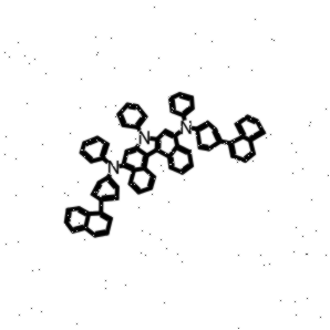 c1ccc(N(c2ccc(-c3cccc4ccccc34)cc2)c2cc3c(c4ccccc24)c2c4ccccc4c(N(c4ccccc4)c4ccc(-c5cccc6ccccc56)cc4)cc2n3-c2ccccc2)cc1